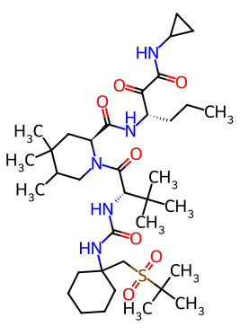 CCC[C@H](NC(=O)[C@@H]1CC(C)(C)C(C)CN1C(=O)[C@@H](NC(=O)NC1(CS(=O)(=O)C(C)(C)C)CCCCC1)C(C)(C)C)C(=O)C(=O)NC1CC1